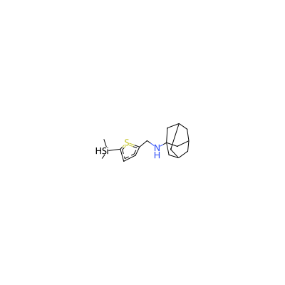 C[SiH](C)c1ccc(CNC23CC4CC(CC(C4)C2)C3)s1